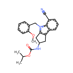 COc1ccccc1Cn1c2c(c3cccc(C#N)c31)CC(NC(=O)OC(C)C)C2